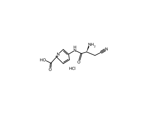 Cl.N#CC[C@H](N)C(=O)Nc1ccc(C(=O)O)nc1